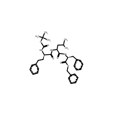 CC(C)CC(NC(=O)[C@@H](CCc1ccccc1)NC(=O)OC(C)(C)C)C(=O)N[C@@H](Cc1ccccc1)C(=O)OCc1ccccc1